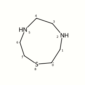 [CH]1CNCCNC[CH]S1